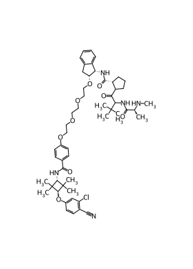 CN[C@@H](C)C(=O)NC(C(=O)C1CCC[C@H]1C(=O)N[C@H]1c2ccccc2C[C@H]1OCCOCCOCCOc1ccc(C(=O)N[C@H]2C(C)(C)[C@H](Oc3ccc(C#N)c(Cl)c3)C2(C)C)cc1)C(C)(C)C